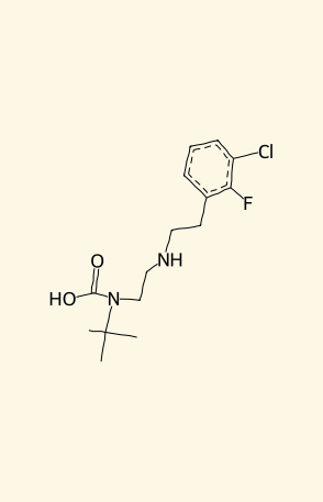 CC(C)(C)N(CCNCCc1cccc(Cl)c1F)C(=O)O